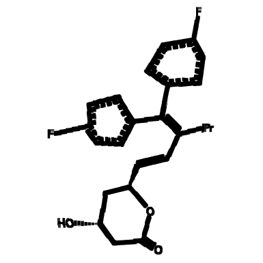 CC(C)C(/C=C/[C@@H]1C[C@@H](O)CC(=O)O1)=C(c1ccc(F)cc1)c1ccc(F)cc1